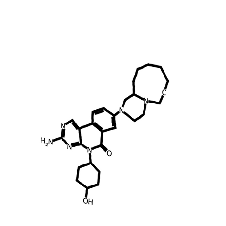 Nc1ncc2c3ccc(N4CCN5CCCCCCCC5C4)cc3c(=O)n(C3CCC(O)CC3)c2n1